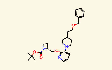 CC(C)(C)OC(=O)N1CC[C@H]1COc1ncccc1N1CCC(CCOCc2ccccc2)CC1